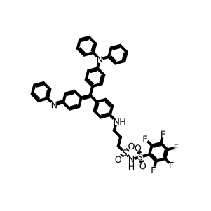 O=S(=O)(CCCNc1ccc(C(=C2C=CC(=Nc3ccccc3)C=C2)c2ccc(N(c3ccccc3)c3ccccc3)cc2)cc1)NS(=O)(=O)c1c(F)c(F)c(F)c(F)c1F